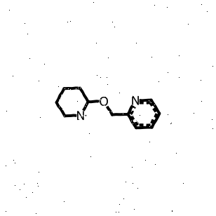 c1ccc(COC2CCCC[N]2)nc1